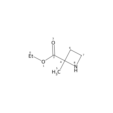 CCOC(=O)C1(C)CCN1